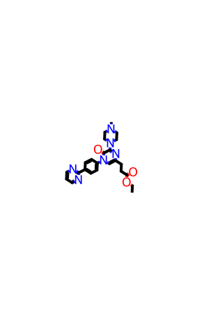 CCOC(=O)CCc1cn(-c2ccc(-c3ncccn3)cc2)c(=O)c(N2CCN(C)CC2)n1